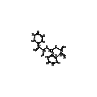 C=C(COCC(=C)C(=C)c1ccccc1)C(=C)c1ccccc1